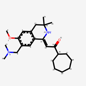 COc1cc2c(cc1CN(C)C)C(=CC(=O)C1CCCCCC1)NC(C)(C)C2